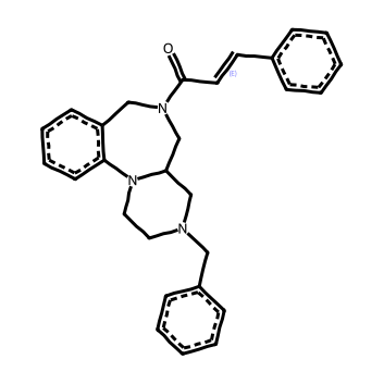 O=C(/C=C/c1ccccc1)N1Cc2ccccc2N2CCN(Cc3ccccc3)CC2C1